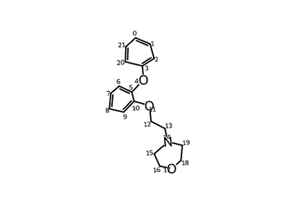 c1ccc(Oc2ccccc2OCCN2CCOCC2)cc1